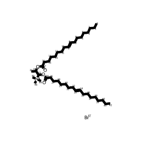 CCCCCCCCC=CCCCCCCCC(=O)OC(C)C(OC(=O)CCCCCCCC=CCCCCCCCC)[N+](C)(C)C.[Br-]